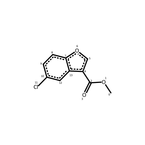 COC(=O)c1coc2ccc(Cl)cc12